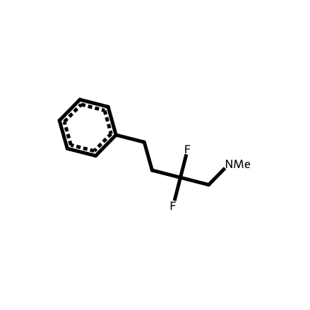 CNCC(F)(F)CCc1ccccc1